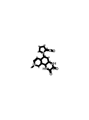 CN1C=CC2C(C1)C1NC(=O)C(=O)NC1CC2N1CCCC1=C=O